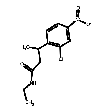 CCNC(=O)CC(C)c1ccc([N+](=O)[O-])cc1O